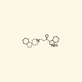 O=C(CCN1CCC2(CCc3ccccc32)CC1)c1c[nH]c2ccccc12